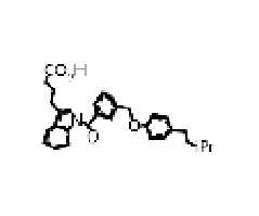 CC(C)CCc1ccc(OCc2cccc(C(=O)n3cc(CCCC(=O)O)c4ccccc43)c2)cc1